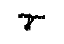 CCCCC/C=C\C/C=C\CCCCCCCCC1(CCCCCCCC/C=C\C/C=C\CCCCC)O[C@@H]2C3CCCC3[C@@H]2O1